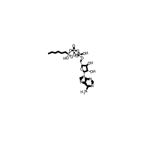 CCCCCCP(=O)(O)OP(=O)(O)OP(=O)(O)OC[C@H]1O[C@@H](n2cnc3c(N)ncnc32)[C@@H](O)C1O